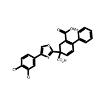 COC(=O)C1=C(c2ccccc2)C=CC(C(=O)O)(c2nc(-c3ccc(Cl)c(Cl)c3)cs2)C1